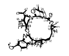 COc1ccc2nc3c(nc2c1)O[C@H]1CN(C(=O)[C@H](C(C)(C)C)NC(=O)O[C@]2(C)C[C@H]2CCCC(F)(F)C3(F)F)[C@H](C(C)=O)[C@@H]1C